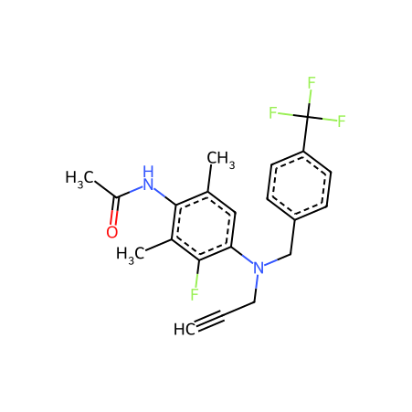 C#CCN(Cc1ccc(C(F)(F)F)cc1)c1cc(C)c(NC(C)=O)c(C)c1F